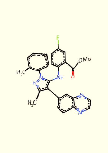 COC(=O)c1cc(F)ccc1Nc1c(-c2ccc3nccnc3c2)c(C)nn1-c1ccccc1C